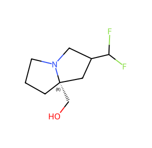 OC[C@]12CCCN1CC(C(F)F)C2